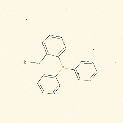 BrCc1ccccc1P(c1ccccc1)c1ccccc1